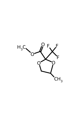 COC(=O)C1(C(F)(F)F)OCC(C)O1